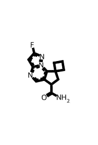 NC(=O)C1CC2(CCC2)c2c1cnc1cc(F)nn21